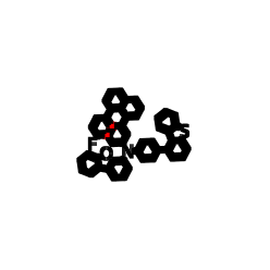 Fc1ccc(-c2cccc3cccc(-c4cccc(N(c5ccc(-c6cccc7sc8ccccc8c67)cc5)c5cccc6c5oc5ccccc56)c4)c23)cc1